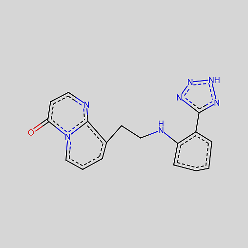 O=c1ccnc2c(CCNc3ccccc3-c3nn[nH]n3)cccn12